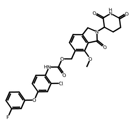 COc1c(COC(=O)Nc2ccc(Oc3cccc(F)c3)cc2Cl)ccc2c1C(=O)N(C1CCC(=O)NC1=O)C2